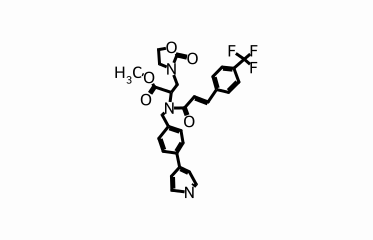 COC(=O)C(CN1CCOC1=O)N(Cc1ccc(-c2ccncc2)cc1)C(=O)C=Cc1ccc(C(F)(F)F)cc1